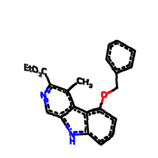 CCOC(=O)c1ncc2[nH]c3cccc(OCc4ccccc4)c3c2c1C